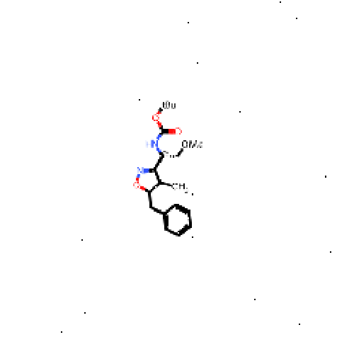 COC[C@@H](NC(=O)OC(C)(C)C)C1=NOC(Cc2ccccc2)C1C